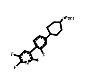 CCCCCC1CCC(c2ccc(-c3cc(F)c(F)nc3F)c(F)c2)CC1